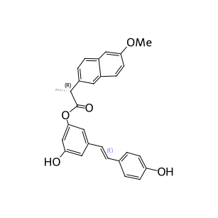 COc1ccc2cc([C@@H](C)C(=O)Oc3cc(O)cc(/C=C/c4ccc(O)cc4)c3)ccc2c1